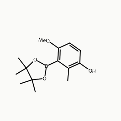 COc1ccc(O)c(C)c1B1OC(C)(C)C(C)(C)O1